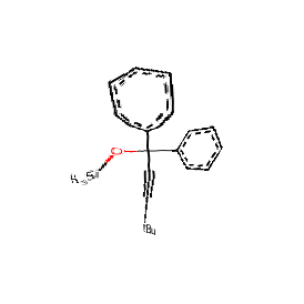 CC(C)(C)C#CC(O[SiH3])(c1ccccc1)c1ccccc1